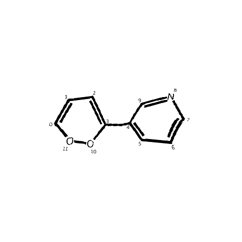 [C]1=CC=C(c2cccnc2)OO1